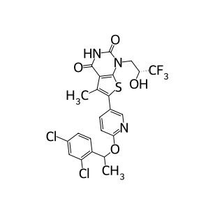 Cc1c(-c2ccc(OC(C)c3ccc(Cl)cc3Cl)nc2)sc2c1c(=O)[nH]c(=O)n2C[C@@H](O)C(F)(F)F